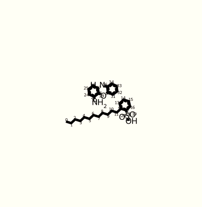 CCCCCCCCCCCCc1ccccc1S(=O)(=O)O.Nc1ccccc1Oc1ccccc1N